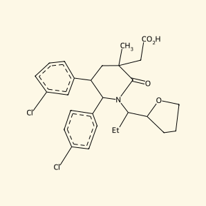 CCC(C1CCCO1)N1C(=O)C(C)(CC(=O)O)CC(c2cccc(Cl)c2)C1c1ccc(Cl)cc1